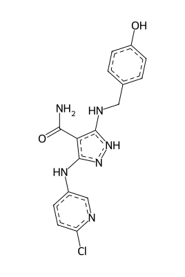 NC(=O)c1c(Nc2ccc(Cl)nc2)n[nH]c1NCc1ccc(O)cc1